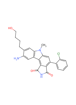 Cn1c2cc(CCCCO)c(N)cc2c2c3c(c(-c4ccccc4Cl)cc21)C(=O)NC3=O